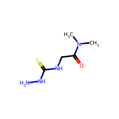 CN(C)C(=O)CNC(=S)NN